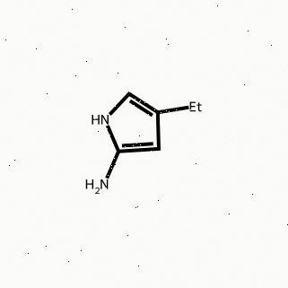 CCc1c[nH]c(N)c1